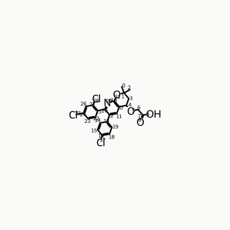 CC1(C)CC(OCC(=O)O)c2cc(-c3ccc(Cl)cc3)c(-c3ccc(Cl)cc3Cl)nc2O1